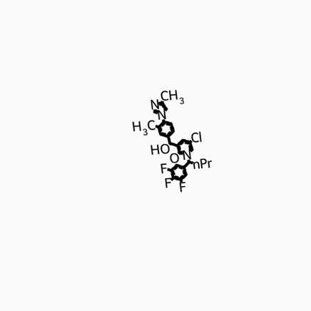 CCCC(c1cc(F)c(F)c(F)c1)n1cc(Cl)cc(C(O)c2ccc(-n3cnc(C)c3)c(C)c2)c1=O